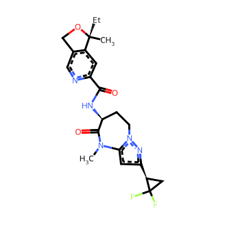 CC[C@]1(C)OCc2cnc(C(=O)N[C@H]3CCn4nc([C@H]5CC5(F)F)cc4N(C)C3=O)cc21